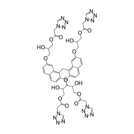 O=C(Cn1cnnn1)OCC(O)COc1ccc2ccc(OCC(O)COC(=O)Cn3cnnn3)c(Cc3c(OCC(O)COC(=O)Cn4cnnn4)ccc4ccc(OCC(O)COC(=O)Cn5cnnn5)cc34)c2c1